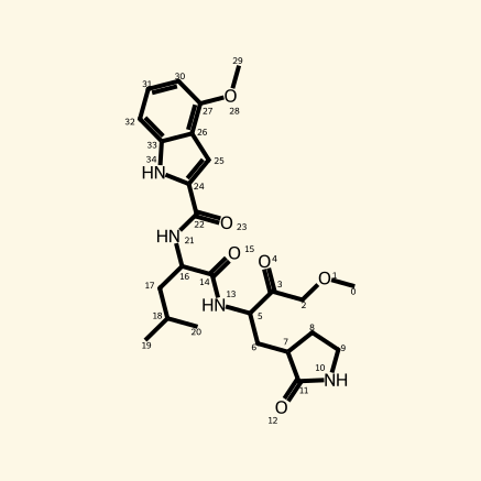 COCC(=O)C(CC1CCNC1=O)NC(=O)C(CC(C)C)NC(=O)c1cc2c(OC)cccc2[nH]1